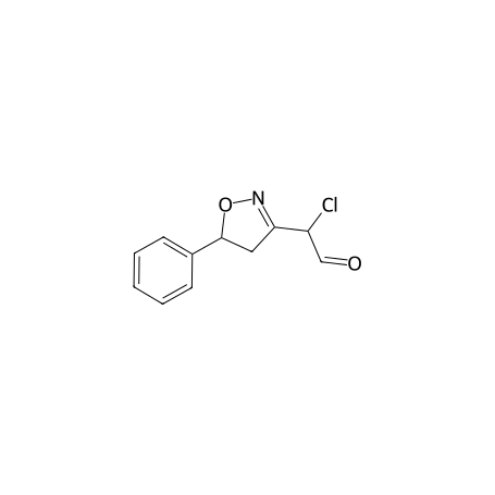 O=CC(Cl)C1=NOC(c2ccccc2)C1